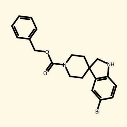 O=C(OCc1ccccc1)N1CCC2(CC1)CNc1ccc(Br)cc12